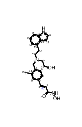 O=C(/C=C/c1ccc(CN(CCO)CCc2cccc3[nH]ccc23)c(F)c1)NO